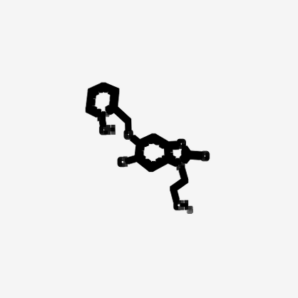 CCCn1c(=O)oc2cc(OCc3cccc[n+]3O)c(Cl)cc21